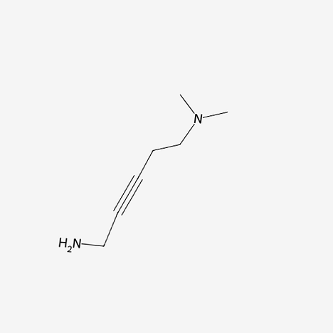 CN(C)CCC#CCN